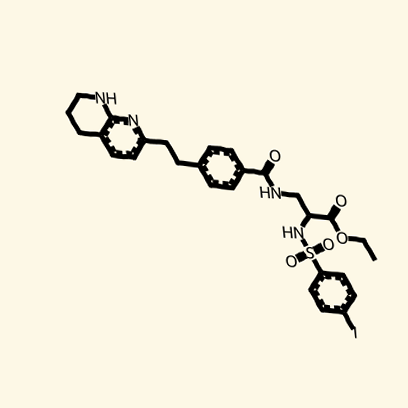 CCOC(=O)C(CNC(=O)c1ccc(CCc2ccc3c(n2)NCCC3)cc1)NS(=O)(=O)c1ccc(I)cc1